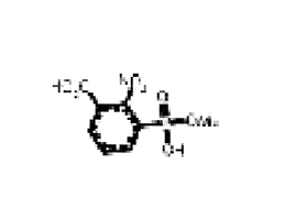 COP(=O)(O)c1cccc(C(=O)O)c1[N+](=O)[O-]